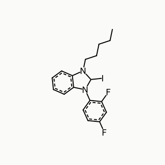 CCCCCN1c2ccccc2N(c2ccc(F)cc2F)C1I